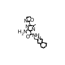 Cc1nc(C(=O)NCc2cc3ccccc3cn2)c(N)nc1-c1ncco1